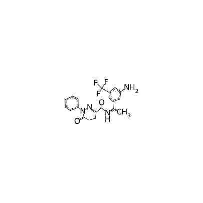 C[C@@H](NC(=O)C1=NN(c2ccccc2)C(=O)CC1)c1cc(N)cc(C(F)(F)F)c1